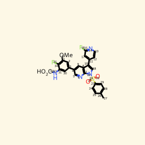 COc1cc(-c2cnc3c(c2)c(-c2ccnc(F)c2)cn3S(=O)(=O)c2ccc(C)cc2)cc(NC(=O)O)c1F